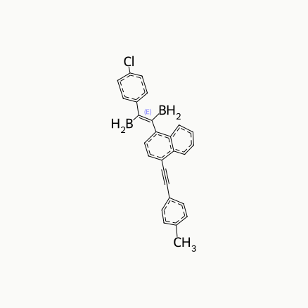 B/C(=C(/B)c1ccc(C#Cc2ccc(C)cc2)c2ccccc12)c1ccc(Cl)cc1